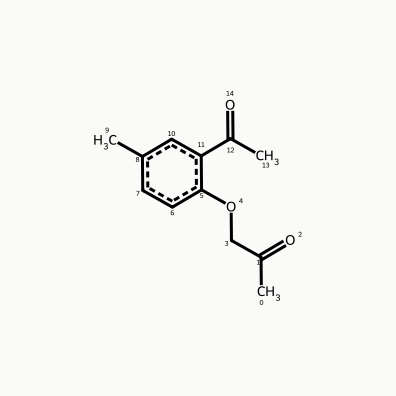 CC(=O)COc1ccc(C)cc1C(C)=O